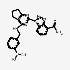 NC(=O)c1cccc2c1nnn2-c1nc2c(c(NCc3cccc(B(O)O)c3)n1)CCC2